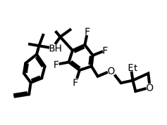 C=Cc1ccc(C(C)(C)BC(C)(C)c2c(F)c(F)c(COCC3(CC)COC3)c(F)c2F)cc1